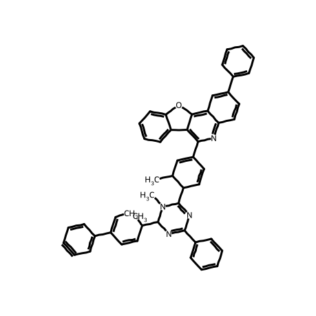 C/C=C(\C=C/C(C)C1N=C(c2ccccc2)N=C(C2C=CC(c3nc4ccc(-c5ccccc5)cc4c4oc5ccccc5c34)=CC2C)N1C)c1cc#ccc1